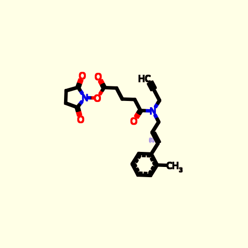 C#CCN(C/C=C/c1ccccc1C)C(=O)CCCC(=O)ON1C(=O)CCC1=O